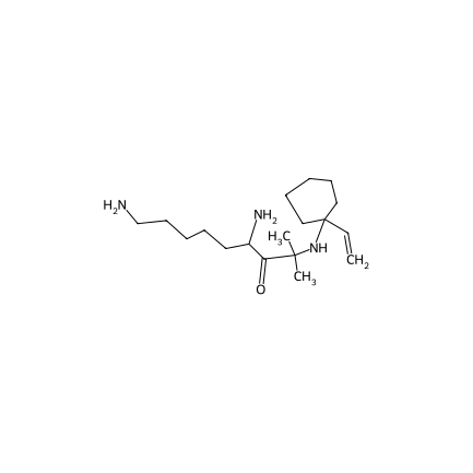 C=CC1(NC(C)(C)C(=O)C(N)CCCCCN)CCCCC1